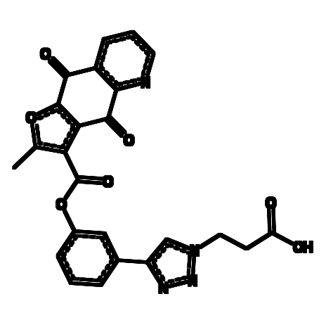 Cc1oc2c(c1C(=O)Oc1cccc(-c3cn(CCC(=O)O)nn3)c1)C(=O)c1ncccc1C2=O